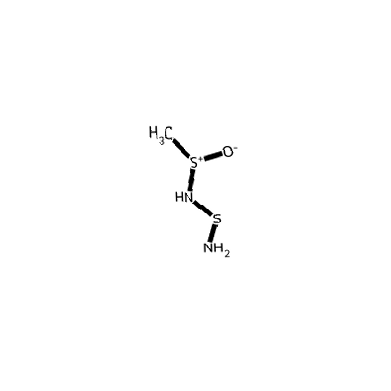 C[S+]([O-])NSN